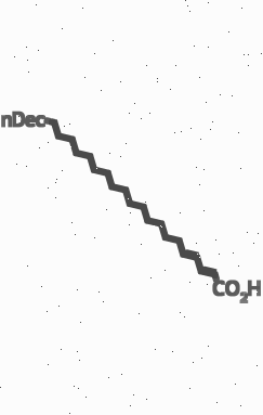 CCCCCCCCCCCCCCCCCCCCCCCCCC=CC=CC(=O)O